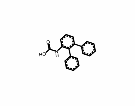 O=C(O)Nc1cccc(-c2ccccc2)c1-c1ccccc1